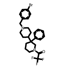 O=C(N1CCCC(c2ccccc2)(C2CCN(Cc3ccc(Br)cc3)CC2)C1)C(F)(F)F